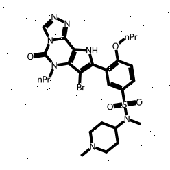 CCCOc1ccc(S(=O)(=O)N(C)C2CCN(C)CC2)cc1-c1[nH]c2c(c1Br)n(CCC)c(=O)n1cnnc21